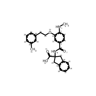 CNc1ccc(C(=O)NC2(C(=O)O)Cc3ccccc3C2)cc1OCCc1cccc(C)c1